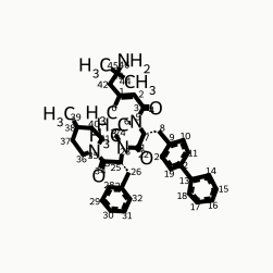 C/C(=C\C(=O)N(C)[C@H](Cc1ccc(-c2ccccc2)cc1)C(=O)N(C)[C@H](Cc1ccccc1)C(=O)N1CCC(C)CC1)CC(C)(C)N